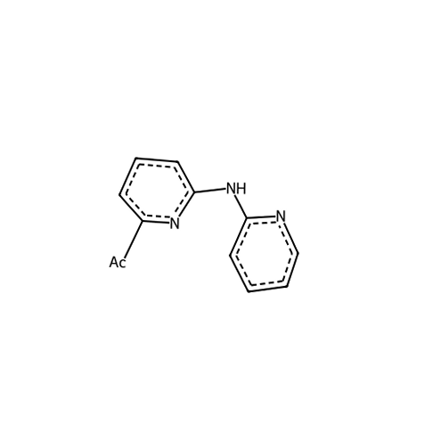 CC(=O)c1cccc(Nc2ccccn2)n1